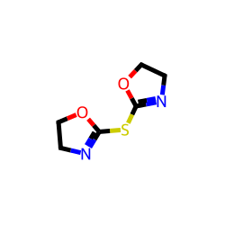 C1COC(SC2=NCCO2)=N1